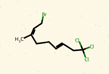 CC(=CCBr)CCC=CCC(Cl)(Cl)Cl